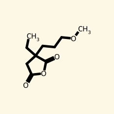 CCC1(CCCOC)CC(=O)OC1=O